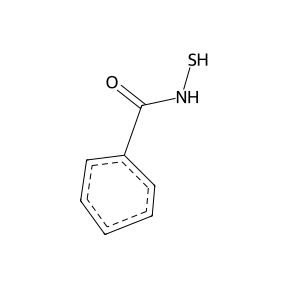 O=C(NS)c1ccccc1